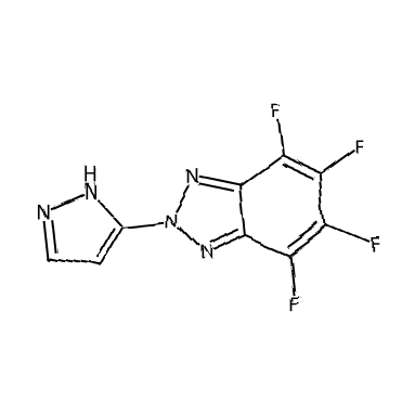 Fc1c(F)c(F)c2nn(-c3ccn[nH]3)nc2c1F